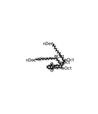 CCCCCCCCCCCCCCCCCCCCCCCCC(CCCCCCCC)CCCCC(CCCCCCCC)CCCCCOC(=O)c1ccccc1C(=O)OCCCCCC(CCCCCCCC)CCCCC(CCCCCCCC)CCCCCCCCCCCCCCCCCCCCCCCC